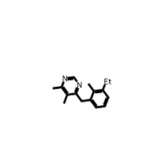 CCc1cccc(Cc2ncnc(C)c2C)c1C